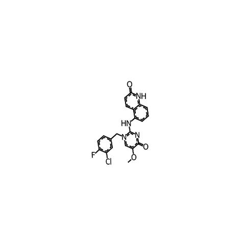 COc1cn(Cc2ccc(F)c(Cl)c2)c(Nc2cccc3[nH]c(=O)ccc23)nc1=O